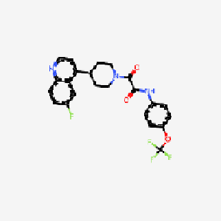 O=C(Nc1ccc(OC(F)(F)F)cc1)C(=O)N1CCC(c2ccnc3ccc(F)cc23)CC1